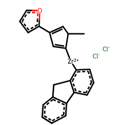 CC1C=C(c2ccco2)C=[C]1[Zr+2][c]1cccc2c1Cc1ccccc1-2.[Cl-].[Cl-]